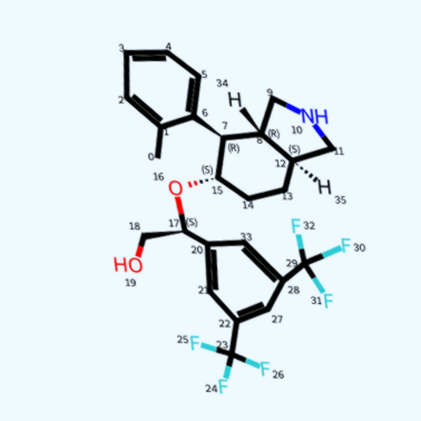 Cc1ccccc1[C@H]1[C@@H]2CNC[C@H]2CC[C@@H]1O[C@H](CO)c1cc(C(F)(F)F)cc(C(F)(F)F)c1